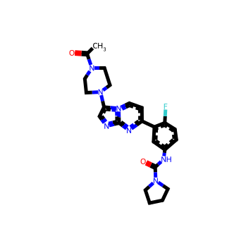 CC(=O)N1CCN(c2cnc3nc(-c4cc(NC(=O)N5CCCC5)ccc4F)ccn23)CC1